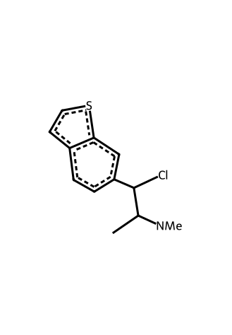 CNC(C)C(Cl)c1ccc2ccsc2c1